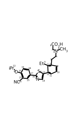 CCc1c(CCN(C)CC(=O)O)cccc1-c1cnc(-c2ccc(OC(C)C)c(C#N)c2)s1